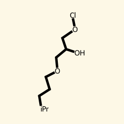 CC(C)CCCOCC(O)COCl